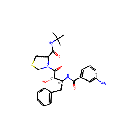 CC(C)(C)NC(=O)C1CSCN1C(=O)[C@@H](O)[C@H](Cc1ccccc1)NC(=O)c1cccc(N)c1